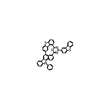 c1ccc(-c2nc(-c3ccc4sc5ccccc5c4c3)nc(-c3cccc4sc5ccc(-c6ccc7c(c6)c6ccccc6n7-c6ccccc6)cc5c34)n2)cc1